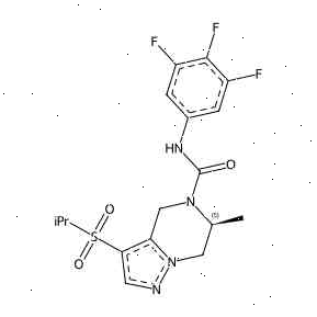 CC(C)S(=O)(=O)c1cnn2c1CN(C(=O)Nc1cc(F)c(F)c(F)c1)[C@@H](C)C2